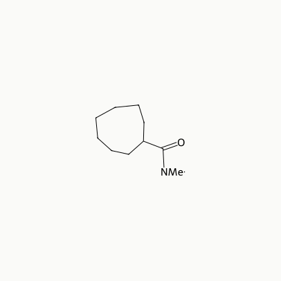 C[N]C(=O)C1CCCCCCC1